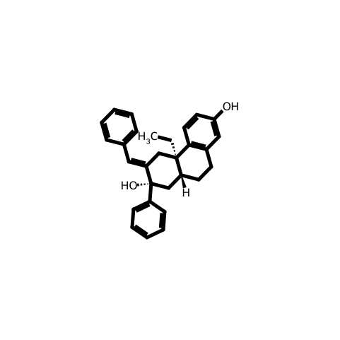 CC[C@@]12C/C(=C\c3ccccc3)[C@](O)(c3ccccc3)C[C@H]1CCc1cc(O)ccc12